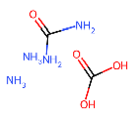 N.N.NC(N)=O.O=C(O)O